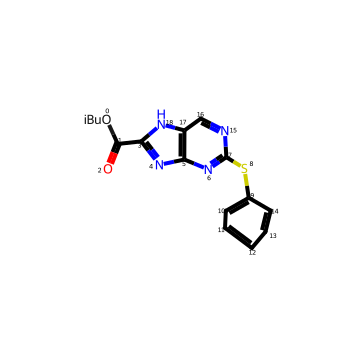 CC(C)COC(=O)c1nc2nc(Sc3ccccc3)ncc2[nH]1